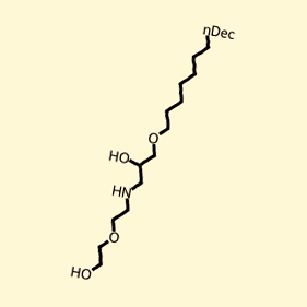 CCCCCCCCCCCCCCCCCOCC(O)CNCCOCCO